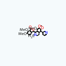 COc1ccc2c(c1OC)C(=O)O[C@@H]2[C@H]1c2c(c(-c3cccnc3)c3c(c2OC)OCO3)CCN1C